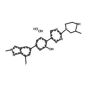 CC1CN(c2ncc(-c3ccc(-c4cc(F)c5nn(C)cc5c4)cc3O)nn2)CCN1.Cl.Cl